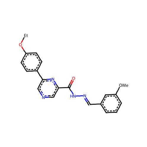 CCOc1ccc(-c2cncc(C(=O)NN=Cc3cccc(OC)c3)n2)cc1